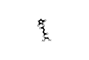 CC(=O)C[C@@H](OC(=O)CCC(=O)ON1C(=O)CCC1=O)C(C)=O